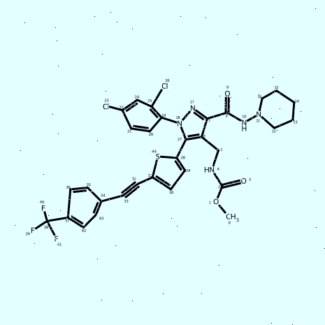 COC(=O)NCc1c(C(=O)NN2CCCCC2)nn(-c2ccc(Cl)cc2Cl)c1-c1ccc(C#Cc2ccc(C(F)(F)F)cc2)s1